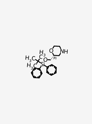 CC(C)(C)[Si](OC[C@H]1CNCCO1)(c1ccccc1)c1ccccc1